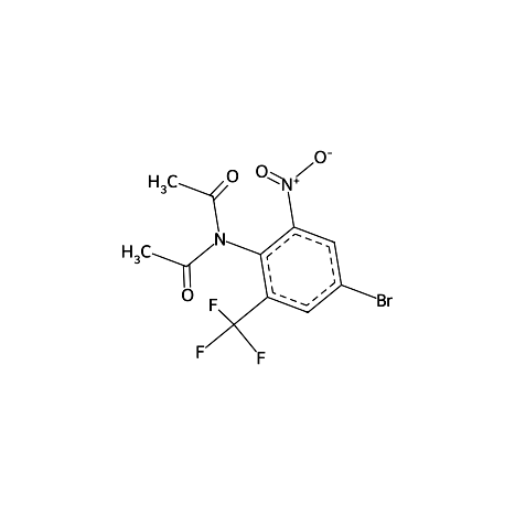 CC(=O)N(C(C)=O)c1c([N+](=O)[O-])cc(Br)cc1C(F)(F)F